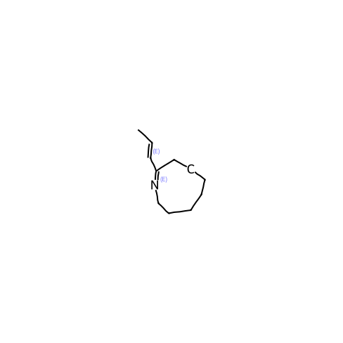 C/C=C/C1=N/CCCCCCC1